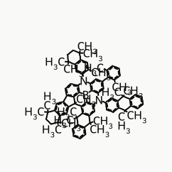 Cc1cc2c(cc1N1c3cc(-c4c(C)cccc4C)cc4c3B3c5c1ccc1c5C(C)(c5cc6c(cc5-1)C(C)(C)CCC6(C)C)c1c3c(cc3c1C(C)(C)c1ccccc1C3(C)C)N4c1ccc3c(c1)C(C)(C)c1ccccc1C3(C)C)C(C)(C)CCC2(C)C